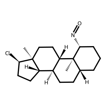 C[C@]12CC[C@H]3[C@@H](CC[C@H]4CCC[C@@H](N=O)[C@@]43C)[C@@H]1CC[C@H]2Cl